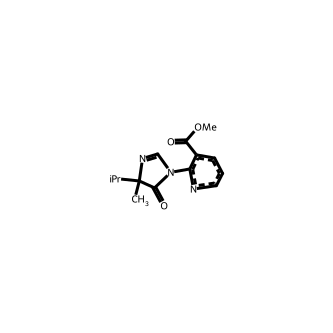 COC(=O)c1cccnc1N1C=NC(C)(C(C)C)C1=O